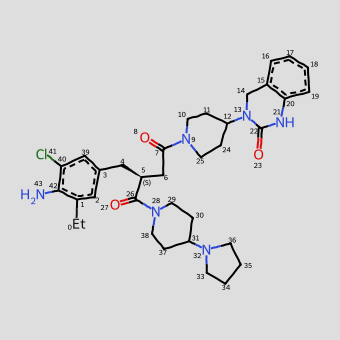 CCc1cc(C[C@@H](CC(=O)N2CCC(N3Cc4ccccc4NC3=O)CC2)C(=O)N2CCC(N3CCCC3)CC2)cc(Cl)c1N